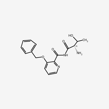 CC(O)[C@H](N)C(=O)NC(=O)c1ncccc1OCc1ccccc1